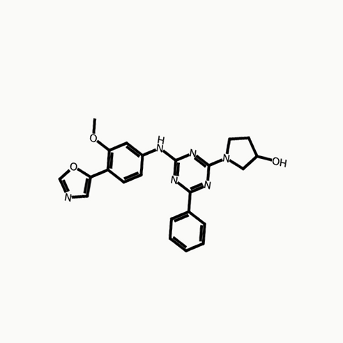 COc1cc(Nc2nc(-c3ccccc3)nc(N3CCC(O)C3)n2)ccc1-c1cnco1